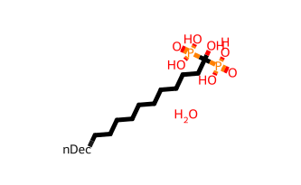 CCCCCCCCCCCCCCCCCCCCC(O)(P(=O)(O)O)P(=O)(O)O.O